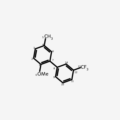 COc1ccc(C)cc1-c1cccc(C(F)(F)F)c1